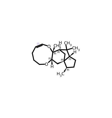 C[C@@H]1CC[C@H]2C(C)(C)[C@H]3C[C@@]12C[C@@H]1OCCC/C=C\O[C@@]13C